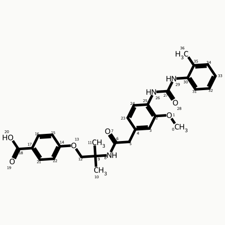 COc1cc(CC(=O)NC(C)(C)COc2ccc(C(=O)O)cc2)ccc1NC(=O)Nc1ccccc1C